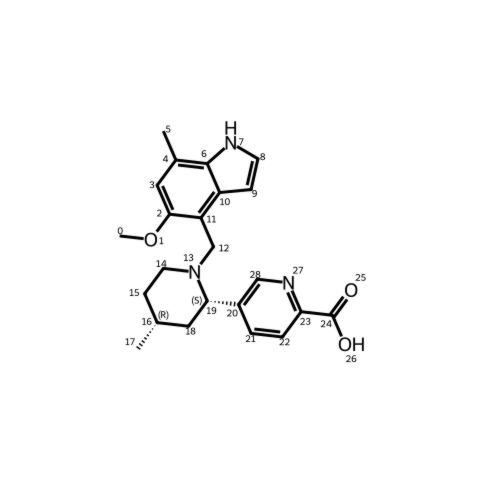 COc1cc(C)c2[nH]ccc2c1CN1CC[C@@H](C)C[C@H]1c1ccc(C(=O)O)nc1